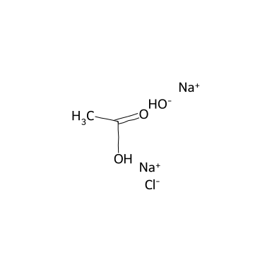 CC(=O)O.[Cl-].[Na+].[Na+].[OH-]